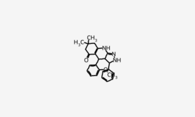 COc1ccccc1C1C2=C(CC(C)(C)CC2=O)NC2=NNC(c3ccccc3)C21